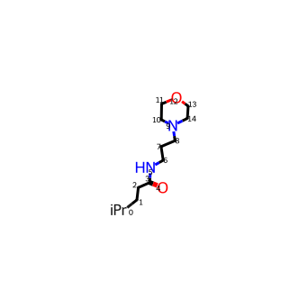 CC(C)CCC(=O)NCCCN1CCOCC1